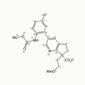 COCCC1(C(=O)O)CCc2cc(-c3cc(Cl)ccc3NC(=O)OC(C)(C)C)cnc21